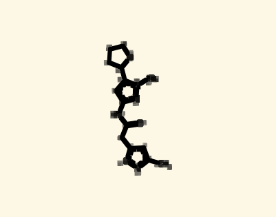 Cc1cc(CC(=O)Nc2cc(C3C[CH]CO3)n(C(C)(C)C)n2)on1